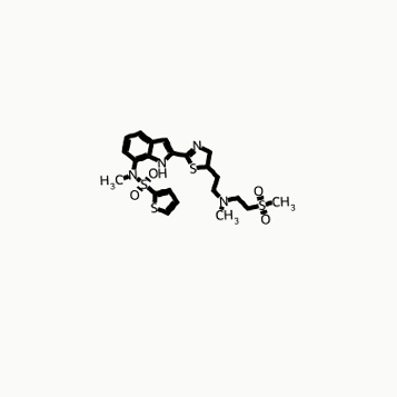 CN(CCC1CN=C(c2cc3cccc(N(C)S(=O)(=O)c4cccs4)c3[nH]2)S1)CCS(C)(=O)=O